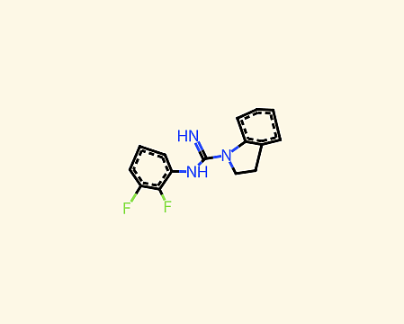 N=C(Nc1cccc(F)c1F)N1CCc2ccccc21